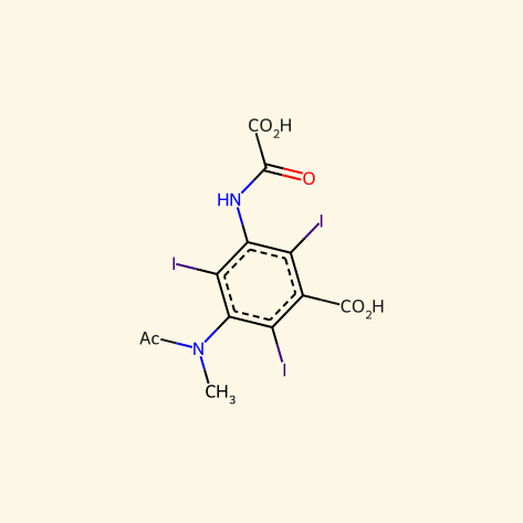 CC(=O)N(C)c1c(I)c(NC(=O)C(=O)O)c(I)c(C(=O)O)c1I